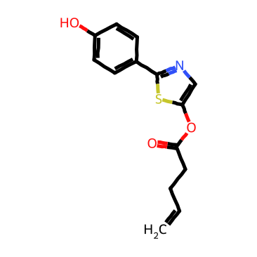 C=CCCC(=O)Oc1cnc(-c2ccc(O)cc2)s1